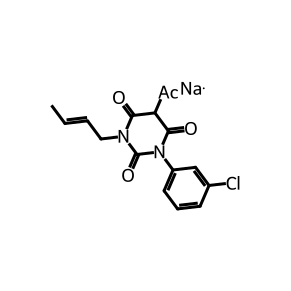 CC=CCN1C(=O)C(C(C)=O)C(=O)N(c2cccc(Cl)c2)C1=O.[Na]